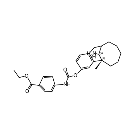 CCOC(=O)c1ccc(NC(=O)Oc2ccc3c(c2)[C@@]2(C)CCCCCC(C3)[C@@H]2N)cc1